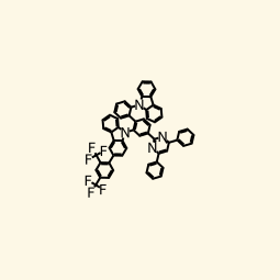 FC(F)(F)c1ccc(-c2ccc3c(c2)c2ccccc2n3-c2cc(-c3nc(-c4ccccc4)cc(-c4ccccc4)n3)ccc2-c2ccccc2-n2c3ccccc3c3ccccc32)c(C(F)(F)F)c1